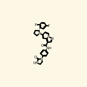 O=C(Nc1ccc(N2CCNC2=O)cc1)c1cnn2ccc(N3CCC[C@@H]3c3cc(F)ccc3F)cc12